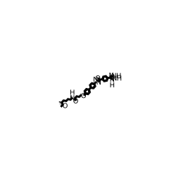 CC(=O)[C@@H](C)CCCCNC(=O)CCCOc1ccc(-c2ccc(-c3noc(-c4ccc(C5=NNNN5)cc4)n3)cc2)cc1